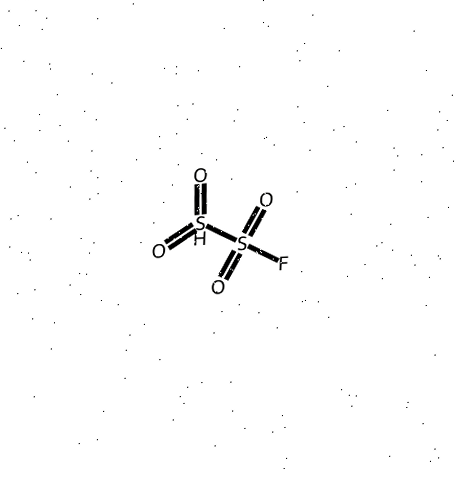 O=[SH](=O)S(=O)(=O)F